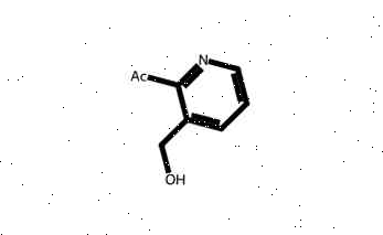 CC(=O)c1ncccc1CO